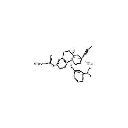 CC#C[C@@]1(O)CC[C@@]2(Cc3cccc(N(C)C)c3)c3ccc(OC(=O)NC)cc3CC[C@@H]2C1